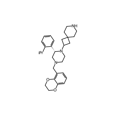 CC(C)c1ccccc1[C@H]1CN(Cc2cccc3c2OCCO3)CCN1C1CC2(CCNCC2)C1